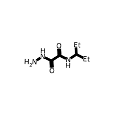 CCC(CC)NC(=O)C(=O)NN